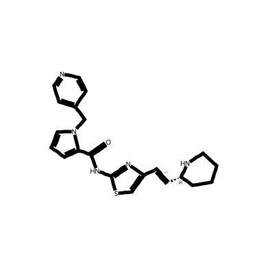 O=C(Nc1nc(/C=C/[C@H]2CCCCN2)cs1)c1cccn1Cc1ccncc1